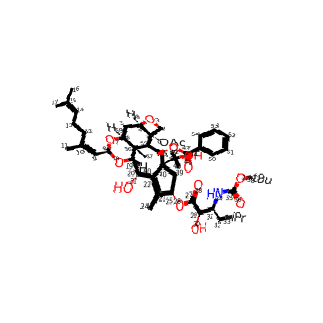 CC(=O)O[C@@]12CO[C@@H]1C[C@@H]1O[C@H](C=C(C)CCC=C(C)C)O[C@H]3[C@@H](O)C4=C(C)[C@@H](OC(=O)[C@H](O)[C@H](CC(C)C)NC(=O)OC(C)(C)C)C[C@@]4(C(C)(C)O)[C@@H](OC(=O)c4ccccc4)[C@H]2[C@@]13C